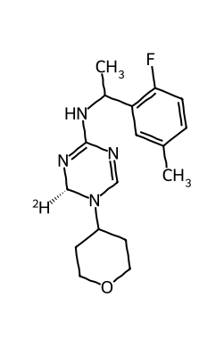 [2H][C@@H]1N=C(NC(C)c2cc(C)ccc2F)N=CN1C1CCOCC1